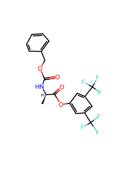 C[C@@H](NC(=O)OCc1ccccc1)C(=O)Oc1cc(C(F)(F)F)cc(C(F)(F)F)c1